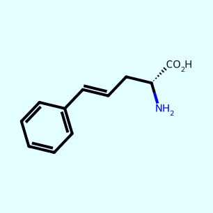 N[C@H](C/C=C/c1ccccc1)C(=O)O